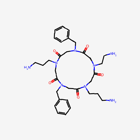 NCCCN1CC(=O)N(CCN)CC(=O)N(Cc2ccccc2)CC(=O)N(CCCN)CC(=O)N(Cc2ccccc2)CC1=O